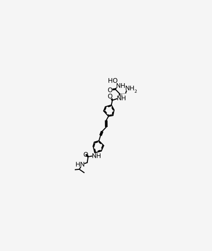 CC(C)NCC(=O)Nc1ccc(C#CC#Cc2ccc(C(=O)N[C@@H](CN)C(=O)NO)cc2)cc1